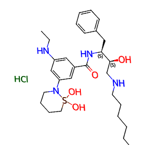 CCCCCCNC[C@H](O)[C@H](Cc1ccccc1)NC(=O)c1cc(NCC)cc(N2CCCCS2(O)O)c1.Cl